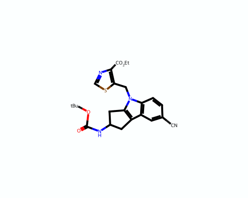 CCOC(=O)c1ncsc1Cn1c2c(c3cc(C#N)ccc31)CC(NC(=O)OC(C)(C)C)C2